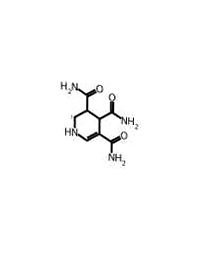 NC(=O)C1=CN[C]C(C(N)=O)C1C(N)=O